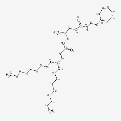 [CH2]C(COC(=O)CCC(OCCCCCCCC)OCCCCCCCC)COC(=O)NCCN1CCCCCC1